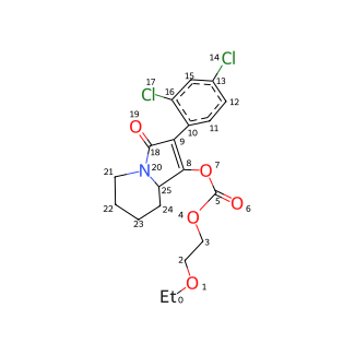 CCOCCOC(=O)OC1=C(c2ccc(Cl)cc2Cl)C(=O)N2CCCCC12